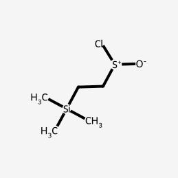 C[Si](C)(C)CC[S+]([O-])Cl